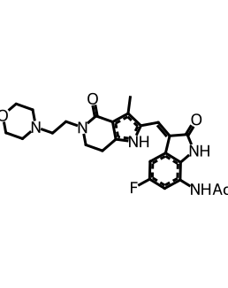 CC(=O)Nc1cc(F)cc2c1NC(=O)/C2=C/c1[nH]c2c(c1C)C(=O)N(CCN1CCOCC1)CC2